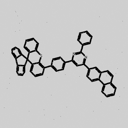 c1ccc(-c2nc(-c3ccc(-c4cccc5c4Sc4ccccc4C54c5ccccc5-c5ccccc54)cc3)cc(-c3ccc4c(ccc5ccccc54)c3)n2)cc1